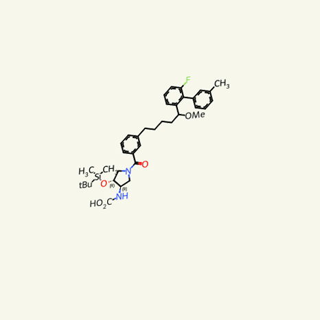 COC(CCCCc1cccc(C(=O)N2C[C@@H](NC(=O)O)[C@H](O[Si](C)(C)C(C)(C)C)C2)c1)c1cccc(F)c1-c1cccc(C)c1